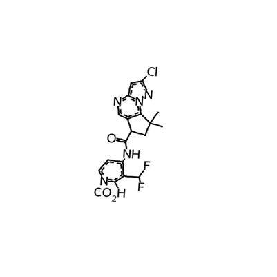 CC1(C)CC(C(=O)Nc2ccnc(C(=O)O)c2C(F)F)c2cnc3cc(Cl)nn3c21